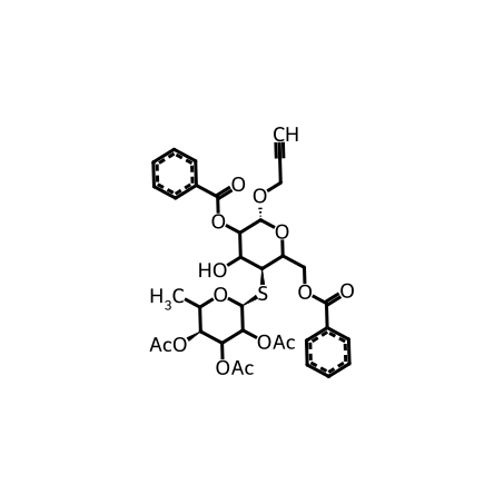 C#CCO[C@@H]1OC(COC(=O)c2ccccc2)[C@@H](S[C@@H]2OC(C)[C@H](OC(C)=O)C(OC(C)=O)C2OC(C)=O)C(O)C1OC(=O)c1ccccc1